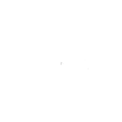 Cc1cccc(O)c1NC(C)c1cccc2ccccc12